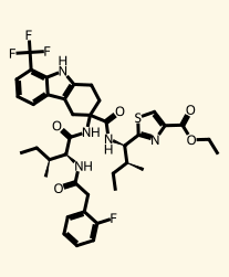 CCOC(=O)c1csc([C@H](NC(=O)C2(NC(=O)[C@@H](NC(=O)Cc3ccccc3F)[C@@H](C)CC)CCc3[nH]c4c(C(F)(F)F)cccc4c3C2)[C@@H](C)CC)n1